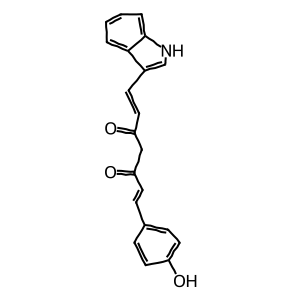 O=C(C=Cc1ccc(O)cc1)CC(=O)C=Cc1c[nH]c2ccccc12